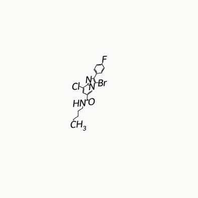 CCCCCNC(=O)c1cc(Cl)c2nc(-c3ccc(F)cc3)c(Br)n2c1